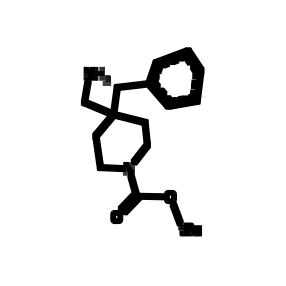 CC(C)(C)OC(=O)N1CCC(CN)(Cc2ccccc2)CC1